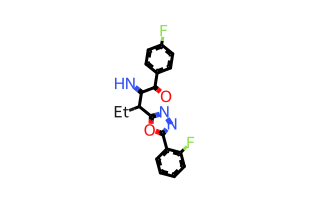 CCC(C(=N)C(=O)c1ccc(F)cc1)c1nnc(-c2ccccc2F)o1